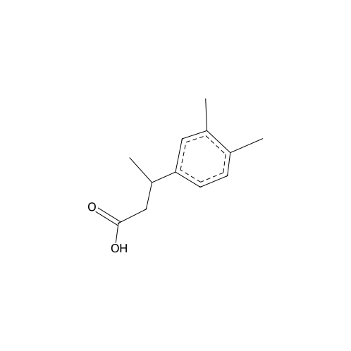 Cc1ccc(C(C)CC(=O)O)cc1C